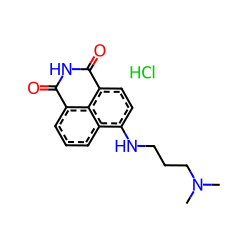 CN(C)CCCNc1ccc2c3c(cccc13)C(=O)NC2=O.Cl